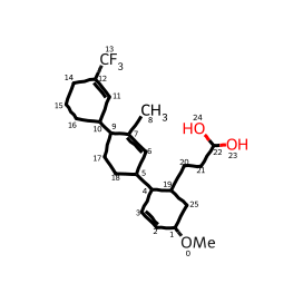 COC1C=CC(C2C=C(C)C(C3C=C(C(F)(F)F)CCC3)CC2)C(CCC(O)O)C1